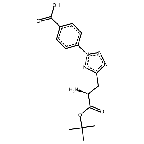 CC(C)(C)OC(=O)[C@@H](N)Cc1nnn(-c2ccc(C(=O)O)cc2)n1